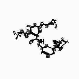 O=C(NCc1cccc(-c2nccs2)c1)c1cc(OCC(F)(F)F)ccc1OCC(F)(F)F